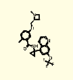 Cc1ccc(OC[C@@H]2CCN2C)cc1C(=O)NC1(c2cc(OC(F)(F)F)cc3ncccc23)CC1